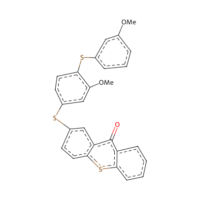 COc1cccc(Sc2ccc(Sc3ccc4sc5ccccc5c(=O)c4c3)cc2OC)c1